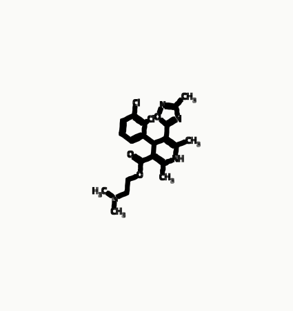 CC1=C(C(=O)OCCN(C)C)C(c2cccc(Cl)c2Cl)C(c2nc(C)no2)=C(C)N1